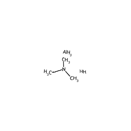 CN(C)C.[AlH3].[HH]